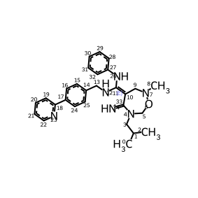 CC(C)CN1CON(C)C/C(=C(/NCc2ccc(-c3ccccn3)cc2)Nc2ccccc2)C1=N